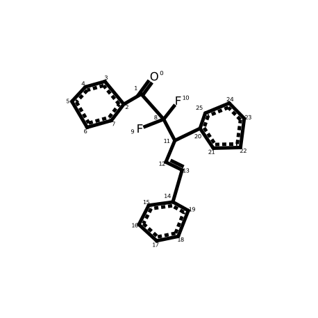 O=C(c1ccccc1)C(F)(F)C(/C=C/c1ccccc1)c1ccccc1